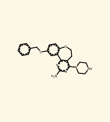 Nc1nc2c(c(N3CCNCC3)n1)CCOc1ccc(OCc3ccccc3)cc1-2